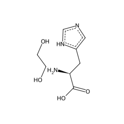 N[C@@H](Cc1cnc[nH]1)C(=O)O.OCCO